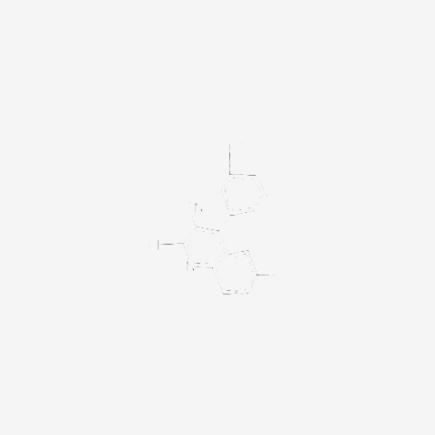 CC(C)c1cccc(-c2c(C#N)c(Cl)nc3ccc(Cl)cc23)c1